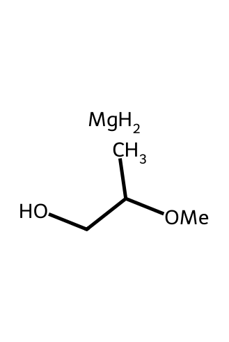 COC(C)CO.[MgH2]